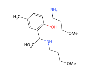 COCCCN.COCCCNC(C(=O)O)c1cc(C)ccc1O